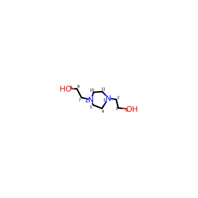 OCCN1CCN(CCO)CC1